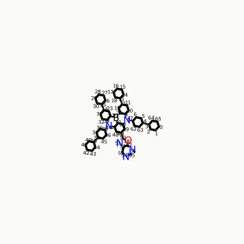 c1ccc(-c2ccc(N3c4ccc(-c5ccccc5)cc4B4c5cc(-c6ccccc6)ccc5N(c5ccc(-c6ccccc6)cc5)c5cc(-c6nc7cncnc7o6)cc3c54)cc2)cc1